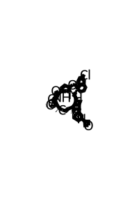 COC[C@@H]1[C@@H](C)C/C=C/[C@](CN2CCN(C3COC3)CC2)(OC)[C@@H]2CC[C@H]2CN2C[C@@]3(CCCc4cc(Cl)ccc43)COc3ccc(cc32)C(=O)NS1(=O)=O